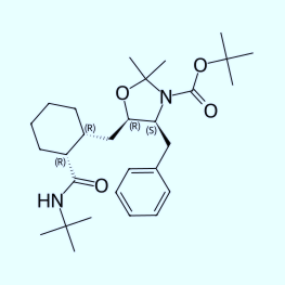 CC(C)(C)NC(=O)[C@@H]1CCCC[C@@H]1C[C@H]1OC(C)(C)N(C(=O)OC(C)(C)C)[C@H]1Cc1ccccc1